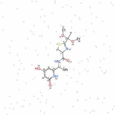 CCCC(NC(=O)C1CSC(C(C)(OCC)OCC)=N1)c1cc(O)cc(=O)[nH]1